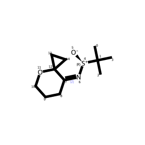 CC(C)(C)[S@+]([O-])/N=C1/CCCOC12CC2